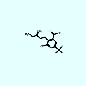 C=C(CC)CCc1c(C(C)=N)cc(C(F)(F)F)nc1Cl